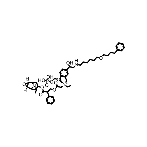 CC[N+](CC)(CC(=O)OCC(C(=O)OC1CC2[C@H]3O[C@H]3C(C1)[N+]2(C)CC)c1ccccc1)Cc1cc(C(O)CNCCCCCCOCCCCc2ccccc2)ccc1OCOP(=O)(O)O